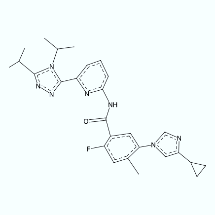 Cc1cc(F)c(C(=O)Nc2cccc(-c3nnc(C(C)C)n3C(C)C)n2)cc1-n1cnc(C2CC2)c1